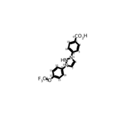 O=C(O)c1ccc(N2C=CN(c3ccc(OC(F)(F)F)cc3)N2)cc1